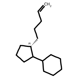 C=CCCC[C@H]1CCC[C]1C1CCCCC1